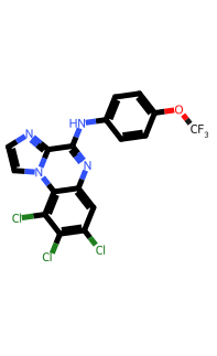 FC(F)(F)Oc1ccc(Nc2nc3cc(Cl)c(Cl)c(Cl)c3n3ccnc23)cc1